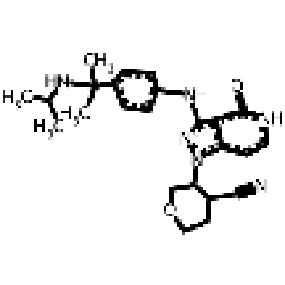 CC(C)NC(C)(C)c1ccc(Nc2nn(C3COCCC3C#N)c3cc[nH]c(=O)c23)cc1